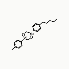 CCCCCc1ccc([C@H]2CO[C@H](c3ccc(C)cc3)CO2)cc1